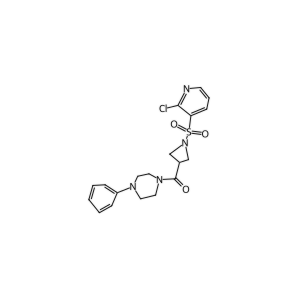 O=C(C1CN(S(=O)(=O)c2cccnc2Cl)C1)N1CCN(c2ccccc2)CC1